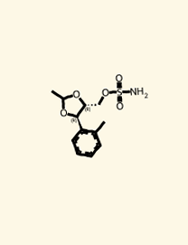 Cc1ccccc1[C@H]1OC(C)O[C@@H]1COS(N)(=O)=O